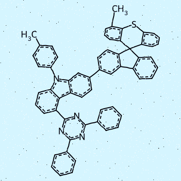 Cc1ccc(-n2c3cc(-c4ccc5c(c4)-c4ccccc4C54c5ccccc5Sc5c(C)cccc54)ccc3c3c(-c4nc(-c5ccccc5)nc(-c5ccccc5)n4)cccc32)cc1